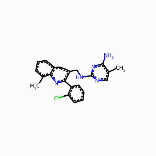 Cc1cnc(NCc2cc3cccc(C)c3nc2-c2ccccc2Cl)nc1N